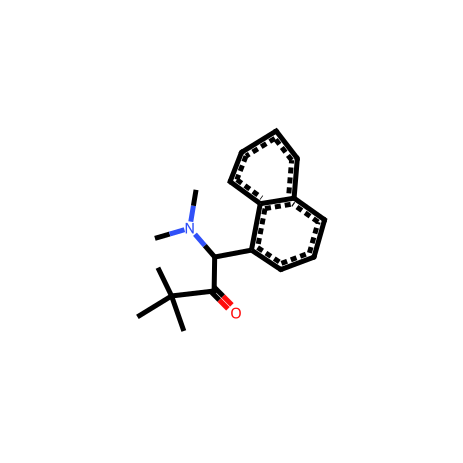 CN(C)C(C(=O)C(C)(C)C)c1cccc2ccccc12